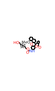 COc1cccc2ccc3c(c12)Oc1cc(NC(=O)OCC[Se][Se]CCO)ccc1C31OC(=O)c2ccccc21